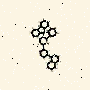 c1cc(-c2ncc3c(n2)-c2ccccc2C32c3ccccc3-c3ccccc32)cc(-c2cccc3ccccc23)c1